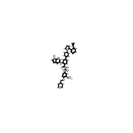 O=C(NS(=O)(=O)c1ccc(OCC2CCOCC2)c([N+](=O)[O-])c1)c1ccc(C2=CCC(N3CCCC3c3ccccc3C3CC3)CC2)cc1Oc1cnc2[nH]ccc2c1